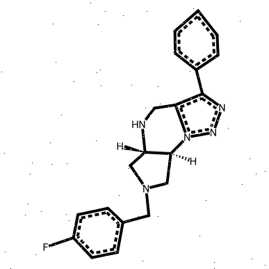 Fc1ccc(CN2C[C@@H]3NCc4c(-c5ccccc5)nnn4[C@H]3C2)cc1